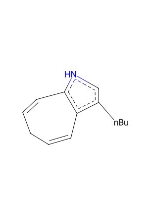 CCCCc1c[nH]c2c1C=CCC=C2